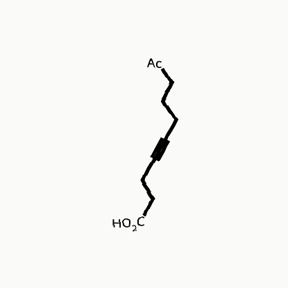 CC(=O)CCCC#CCCC(=O)O